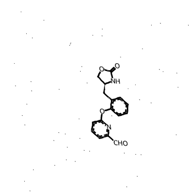 O=Cc1cccc(Oc2ccccc2C[C@H]2COC(=O)N2)n1